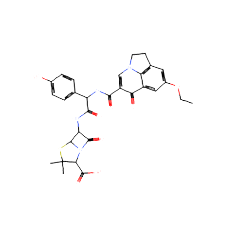 CCOc1cc2c3c(c1)c(=O)c(C(=O)NC(C(=O)NC1C(=O)N4C1SC(C)(C)C4C(=O)O)c1ccc(O)cc1)cn3CC2